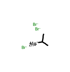 C[CH](C)[Mg+].[Br-].[Br-].[Br-].[Zn+2]